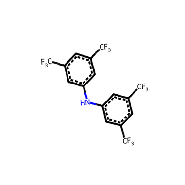 FC(F)(F)c1cc(Nc2cc(C(F)(F)F)cc(C(F)(F)F)c2)cc(C(F)(F)F)c1